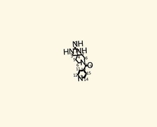 N=C1NCC2(CCN(C(=O)c3ccncc3)CC2)N1